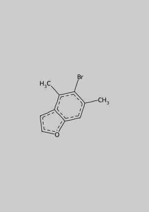 Cc1cc2occc2c(C)c1Br